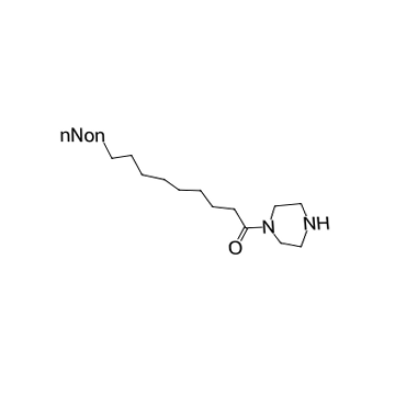 CCCCCCCCCCCCCCCCCC(=O)N1CCNCC1